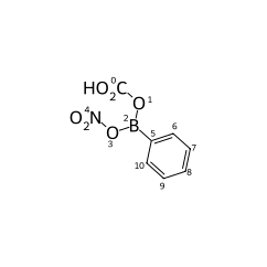 O=C(O)OB(O[N+](=O)[O-])c1ccccc1